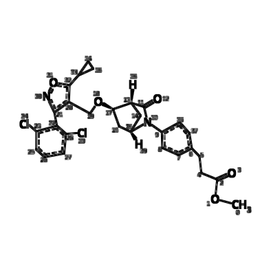 COC(=O)CCc1ccc(N2C(=O)[C@@H]3C[C@H]2C[C@H]3OCc2c(-c3c(Cl)cccc3Cl)noc2C2CC2)cc1